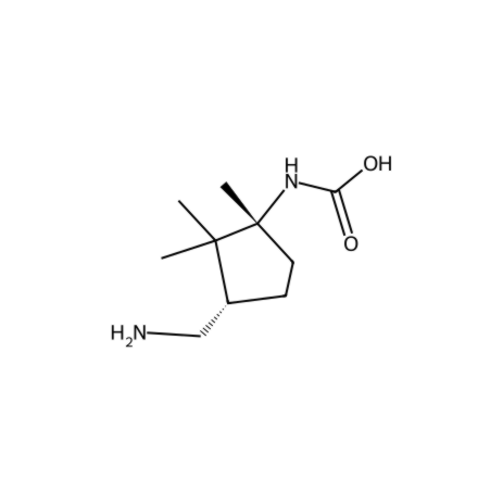 CC1(C)[C@@H](CN)CC[C@@]1(C)NC(=O)O